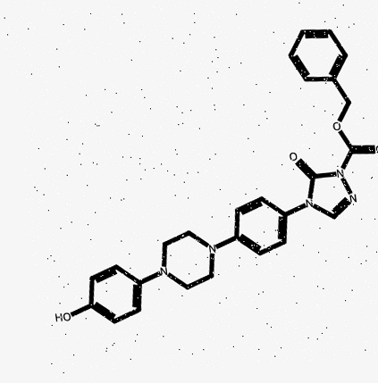 O=C(OCc1ccccc1)n1ncn(-c2ccc(N3CCN(c4ccc(O)cc4)CC3)cc2)c1=O